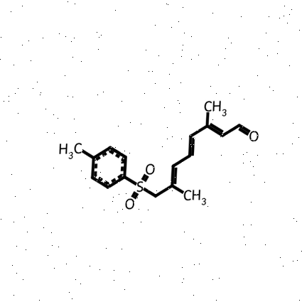 CC(C=CC=C(C)CS(=O)(=O)c1ccc(C)cc1)=CC=O